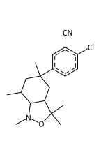 CC1CC(C)(c2ccc(Cl)c(C#N)c2)CC2C1N(C)OC2(C)C